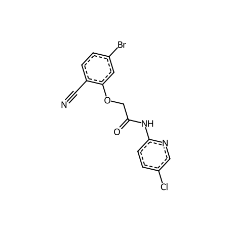 N#Cc1ccc(Br)cc1OCC(=O)Nc1ccc(Cl)cn1